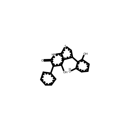 O=c1[nH]c2scc(-c3c(O)cccc3O)c2c(O)c1-c1ccccc1